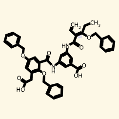 C=C/C(C(=O)Nc1cc(NC(=O)c2cc(OCc3ccccc3)cc(CC(=O)O)c2OCc2ccccc2)cc(C(=O)O)c1)=C(\CC)OCc1ccccc1